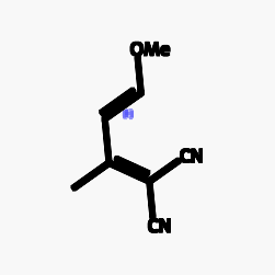 CO/C=C/C(C)=C(C#N)C#N